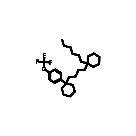 CCCCCCC1(CCCCC2(c3ccc(OC(F)(F)F)cc3)CCCCC2)CCCCC1